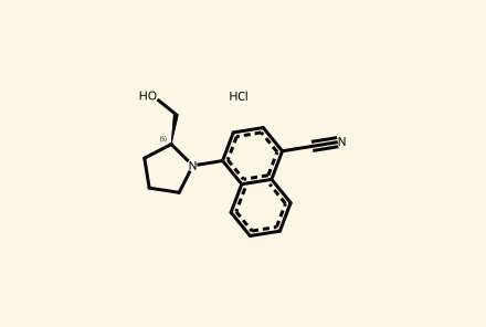 Cl.N#Cc1ccc(N2CCC[C@H]2CO)c2ccccc12